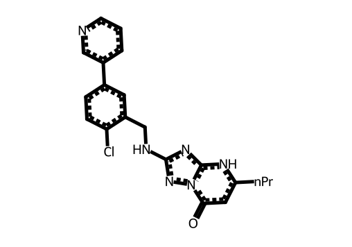 CCCc1cc(=O)n2nc(NCc3cc(-c4cccnc4)ccc3Cl)nc2[nH]1